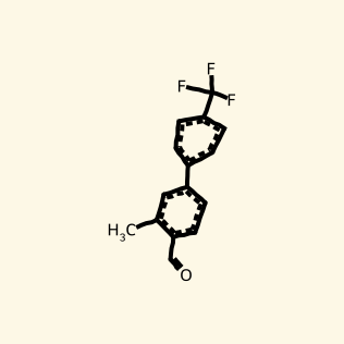 Cc1cc(-c2ccc(C(F)(F)F)cc2)ccc1C=O